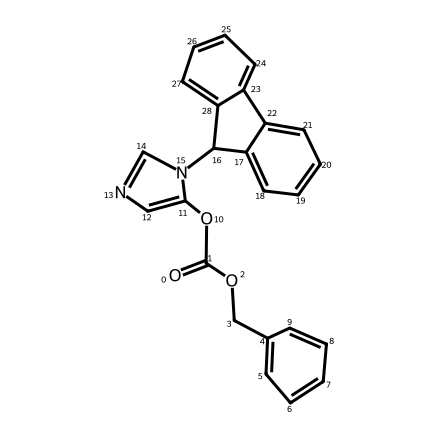 O=C(OCc1ccccc1)Oc1cncn1C1c2ccccc2-c2ccccc21